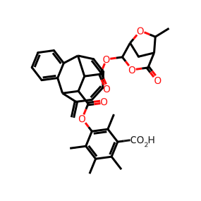 C=C1/C=C\C=C/C2c3ccccc3C1C(C(=O)Oc1c(C)c(C)c(C)c(C(=O)O)c1C)C2C(=O)OC1OC(=O)C2CC1OC2C